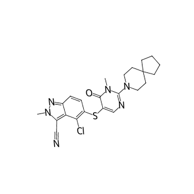 Cn1nc2ccc(Sc3cnc(N4CCC5(CCCC5)CC4)n(C)c3=O)c(Cl)c2c1C#N